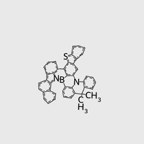 CC1(C)c2ccccc2N2c3cc4c(sc5ccccc54)c4c3B(c3cccc1c32)n1c2c-4cccc2c2ccc3ccccc3c21